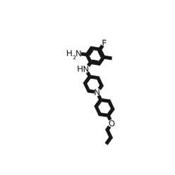 CCCOC1CCC(N2CCC(Nc3cc(C)c(F)cc3N)CC2)CC1